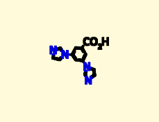 O=C(O)c1cc(-n2ccnc2)cc(-n2ccnc2)c1